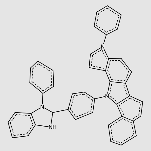 c1ccc(N2c3ccccc3NC2c2ccc(-n3c4c5ccccc5ccc4c4ccc5c(ccn5-c5ccccc5)c43)cc2)cc1